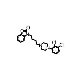 O=c1oc2ccccc2n1CCCCN1CCN(c2cccc(Cl)c2Cl)CC1